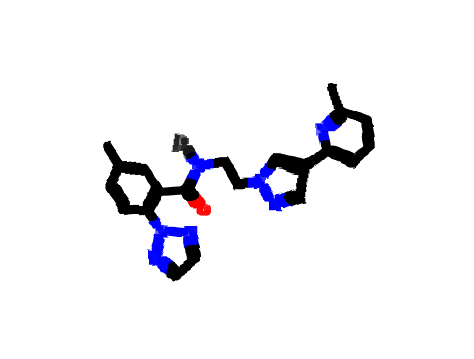 CCN(CCn1cc(-c2cccc(C)n2)cn1)C(=O)c1cc(C)ccc1-n1nccn1